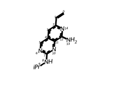 C=Cc1cc2cnc(NC(C)C)nc2c(N)n1